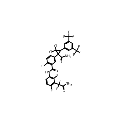 NC(=O)C(F)(F)c1c(F)ccc(NC(=O)c2cc(C3(C(N)=O)C(c4cc(C(F)(F)F)cc(C(F)(F)F)c4)C3(Cl)Cl)ccc2Cl)c1F